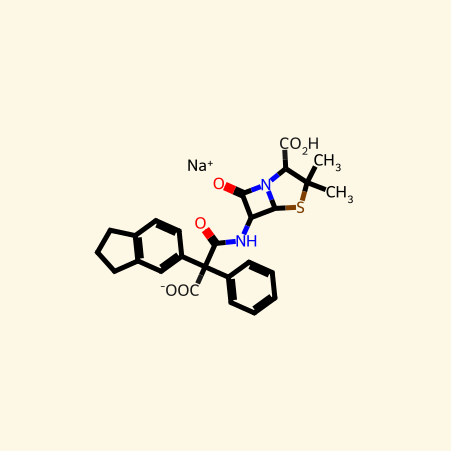 CC1(C)SC2C(NC(=O)C(C(=O)[O-])(c3ccccc3)c3ccc4c(c3)CCC4)C(=O)N2C1C(=O)O.[Na+]